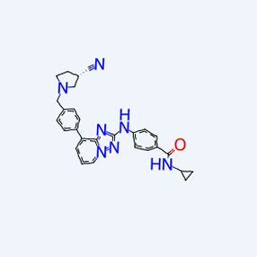 N#C[C@H]1CCN(Cc2ccc(-c3cccn4nc(Nc5ccc(C(=O)NC6CC6)cc5)nc34)cc2)C1